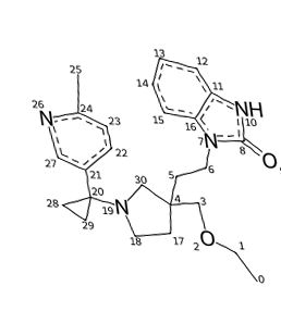 CCOCC1(CCn2c(=O)[nH]c3ccccc32)CCN(C2(c3ccc(C)nc3)CC2)C1